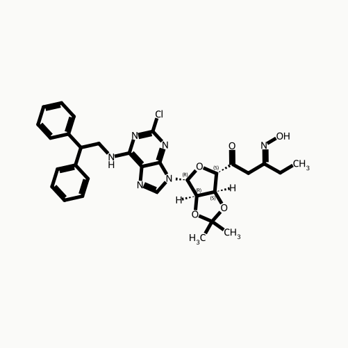 CCC(CC(=O)[C@H]1O[C@@H](n2cnc3c(NCC(c4ccccc4)c4ccccc4)nc(Cl)nc32)[C@@H]2OC(C)(C)O[C@@H]21)=NO